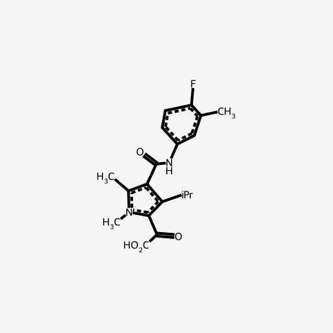 Cc1cc(NC(=O)c2c(C(C)C)c(C(=O)C(=O)O)n(C)c2C)ccc1F